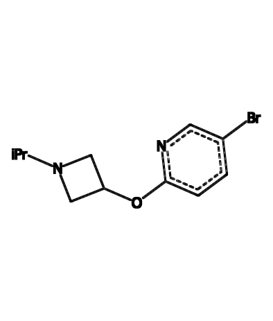 CC(C)N1CC(Oc2ccc(Br)cn2)C1